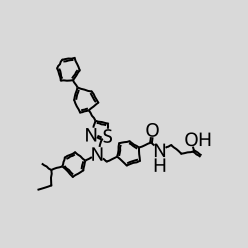 C=C(O)CCNC(=O)c1ccc(CN(c2ccc(C(C)CC)cc2)c2nc(-c3ccc(-c4ccccc4)cc3)cs2)cc1